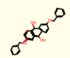 OC12c3ccc(I)cc3C(O)(c3ccc(OCc4ccccc4)cc31)c1cc(OCc3ccccc3)ccc12